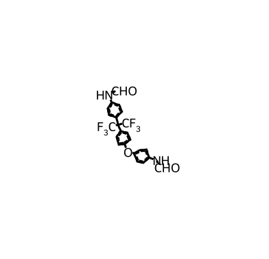 O=CNc1ccc(Oc2ccc(C(c3ccc(NC=O)cc3)(C(F)(F)F)C(F)(F)F)cc2)cc1